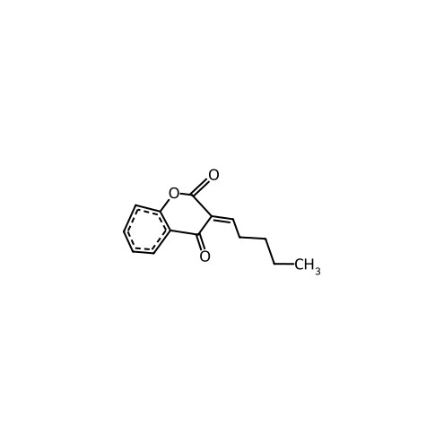 CCCCC=C1C(=O)Oc2ccccc2C1=O